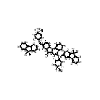 CC(C)(C)c1ccc(N(c2ccc3c(c2)C(=O)c2cc(N(c4ccc(C(C)(C)C)cc4)c4ccc5c(c4)-c4ccccc4C5(C)C)c4ccccc4c2-3)c2ccc3c(c2)-c2ccccc2C3(C)C)cc1